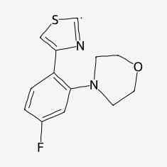 Fc1ccc(-c2cs[c]n2)c(N2CCOCC2)c1